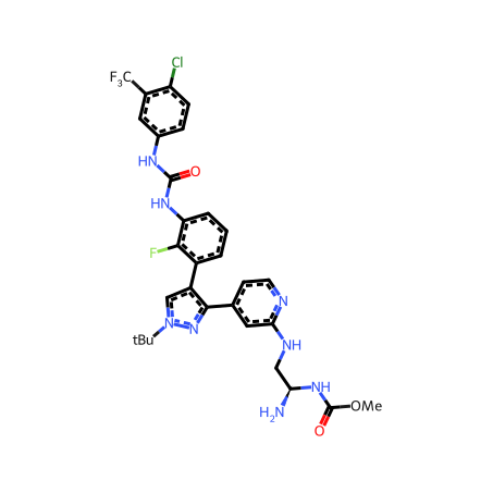 COC(=O)N[C@@H](N)CNc1cc(-c2nn(C(C)(C)C)cc2-c2cccc(NC(=O)Nc3ccc(Cl)c(C(F)(F)F)c3)c2F)ccn1